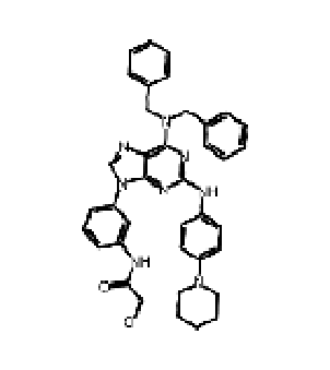 O=C(CCl)Nc1cccc(-n2cnc3c(N(Cc4ccccc4)Cc4ccccc4)nc(Nc4ccc(N5CCCCC5)cc4)nc32)c1